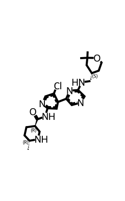 C[C@@H]1CC[C@@H](C(=O)Nc2cc(-c3cncc(NC[C@H]4CCOC(C)(C)C4)n3)c(Cl)cn2)CN1